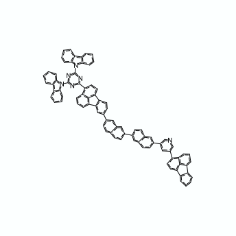 c1ccc2c(c1)-c1cccc3c(-c4cncc(-c5ccc6cc(-c7ccc8ccc(-c9ccc%10c(c9)-c9cccc%11c(-c%12nc(-n%13c%14ccccc%14c%14ccccc%14%13)nc(-n%13c%14ccccc%14c%14ccccc%14%13)n%12)ccc-%10c9%11)cc8c7)ccc6c5)c4)ccc-2c13